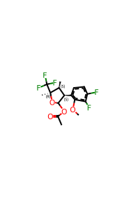 COc1c([C@H]2C(OC(C)=O)O[C@@](C)(C(F)(F)F)[C@H]2C)ccc(F)c1F